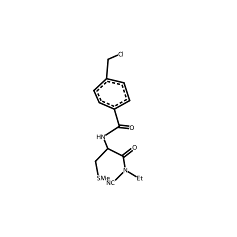 CCN(C#N)C(=O)C(CSC)NC(=O)c1ccc(CCl)cc1